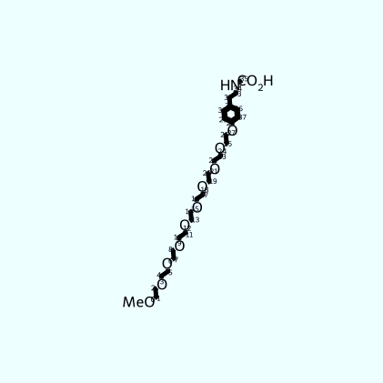 COCCOCCOCCOCCOCCOCCOCCOCCOCCOc1ccc(CCNC(=O)O)cc1